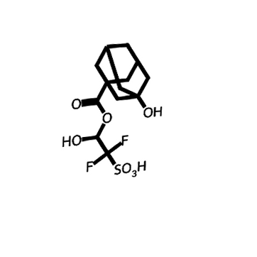 O=C(OC(O)C(F)(F)S(=O)(=O)O)C12CC3CC(CC(O)(C3)C1)C2